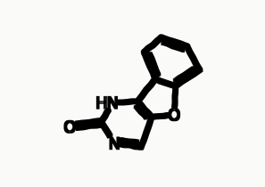 O=c1ncc2oc3ccccc3c2[nH]1